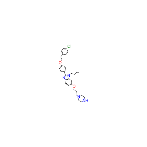 CCCCn1c(-c2ccc(OCCc3ccc(Cl)cc3)cc2)nc2ccc(OCCCN3CCNCC3)cc21